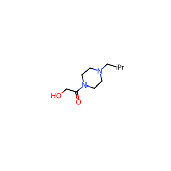 CC(C)CN1CCN(C(=O)CO)CC1